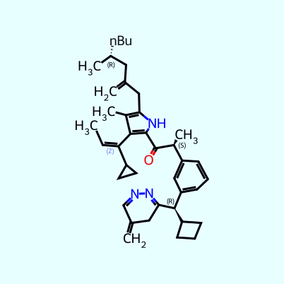 C=C1C=NN=C([C@@H](c2cccc([C@H](C)C(=O)c3[nH]c(CC(=C)C[C@H](C)CCCC)c(C)c3/C(=C\C)C3CC3)c2)C2CCC2)C1